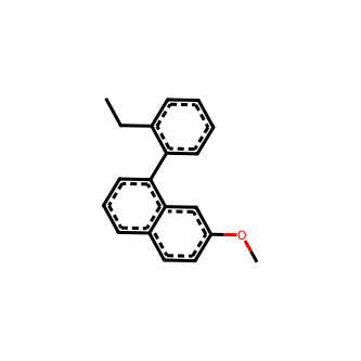 CCc1ccccc1-c1cccc2ccc(OC)cc12